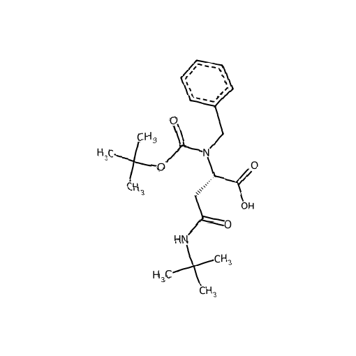 CC(C)(C)NC(=O)C[C@@H](C(=O)O)N(Cc1ccccc1)C(=O)OC(C)(C)C